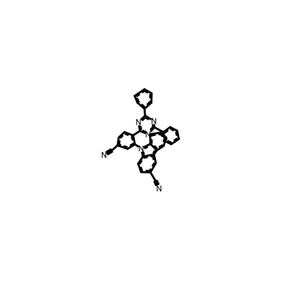 N#Cc1ccc(-c2nc(-c3ccccc3)nc(-c3ccccc3)n2)c(-n2c3ccccc3c3cc(C#N)ccc32)c1